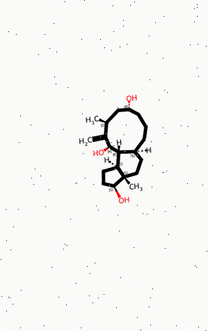 C=C1[C@@H](C)C[C@H](O)CCC[C@H]2CC[C@]3(C)[C@@H](O)CC[C@H]3[C@@H]2[C@H]1O